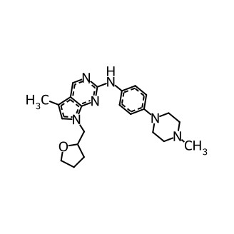 Cc1cn(CC2CCCO2)c2nc(Nc3ccc(N4CCN(C)CC4)cc3)ncc12